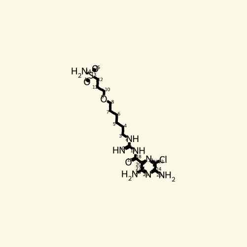 N=C(NCCCCCCOCCCS(N)(=O)=O)NC(=O)c1nc(Cl)c(N)nc1N